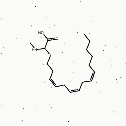 CCCCC/C=C\C/C=C\C/C=C\CCSC(NC)C(=O)O